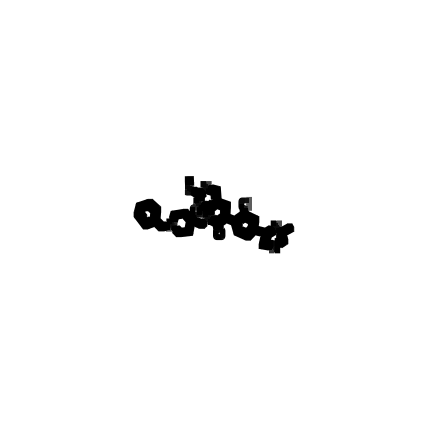 CSc1ncc2cc(-c3ccc(-c4cncc(C)n4)cc3Cl)c(=O)n(CC3(O)CCN(Cc4ccccc4)CC3)c2n1